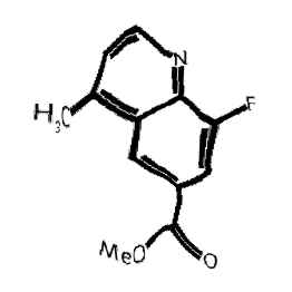 COC(=O)c1cc(F)c2nccc(C)c2c1